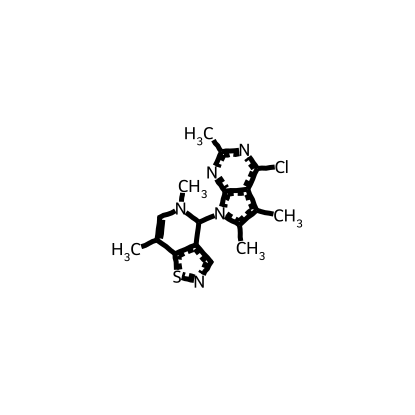 CC1=CN(C)C(n2c(C)c(C)c3c(Cl)nc(C)nc32)c2cnsc21